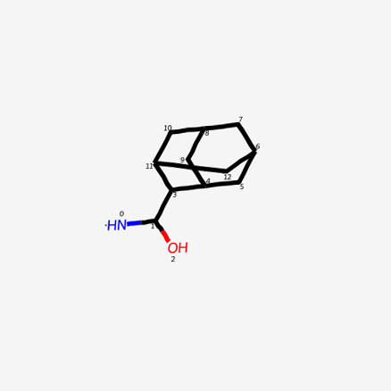 [NH]C(O)C1C2CC3CC(C2)CC1C3